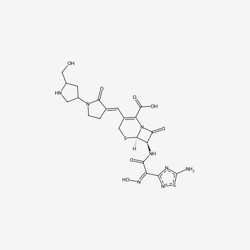 Nc1nc(/C(=N/O)C(=O)N[C@@H]2C(=O)N3C(C(=O)O)=C(/C=C4\CCN(C5CNC(CO)C5)C4=O)CS[C@H]23)ns1